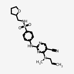 C=CCN(C)c1nc(Nc2ccc(S(=O)(=O)NCC3CCCO3)cc2)ncc1C#N